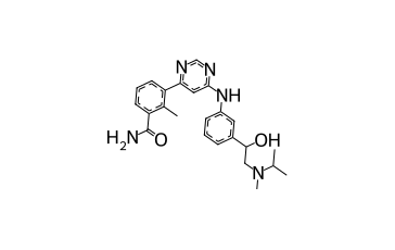 Cc1c(C(N)=O)cccc1-c1cc(Nc2cccc(C(O)CN(C)C(C)C)c2)ncn1